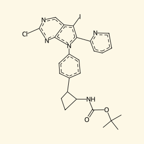 CC(C)(C)OC(=O)NC1CCC1c1ccc(-n2c(-c3ccccn3)c(I)c3cnc(Cl)nc32)cc1